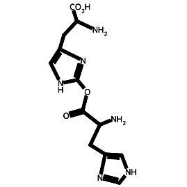 NC(Cc1c[nH]c(OC(=O)C(N)Cc2c[nH]cn2)n1)C(=O)O